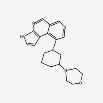 c1cc2c(ncc3cncc(N4CCCC(N5CCOCC5)C4)c32)[nH]1